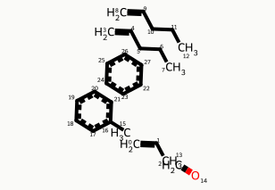 C=CC.C=CCCC.C=CCCC.C=O.Cc1ccccc1.c1ccccc1